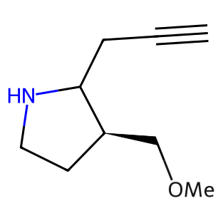 C#CCC1NCC[C@@H]1COC